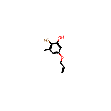 C=CCOc1cc(C)c(S)c(O)c1